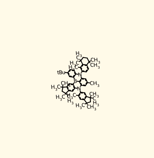 Cc1cc2c3c(c1)N(c1ccc4c(c1C)C(C)(C)CCC4(C)C)c1ccc(C(C)(C)C)cc1B3c1cc3c(cc1N2c1cc2c(cc1C)C(C)(C)CC2(C)C)C(C)(C)CC3(C)C